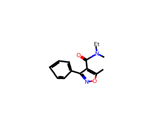 CCN(C)C(=O)c1c(-c2ccccc2)noc1C